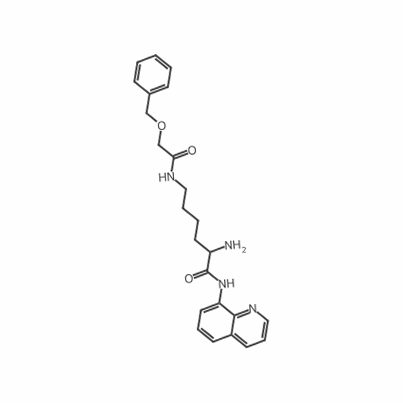 NC(CCCCNC(=O)COCc1ccccc1)C(=O)Nc1cccc2cccnc12